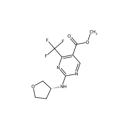 COC(=O)c1cnc(N[C@@H]2CCOC2)nc1C(F)(F)F